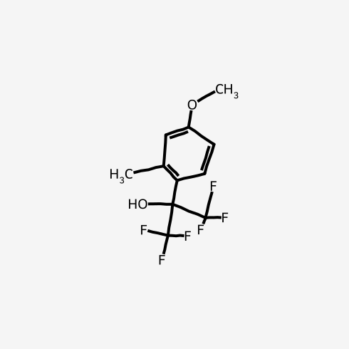 COc1ccc(C(O)(C(F)(F)F)C(F)(F)F)c(C)c1